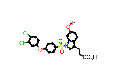 CC(C)Oc1ccc2c(CCC(=O)O)cn(S(=O)(=O)c3ccc(Oc4ccc(Cl)c(Cl)c4)cc3)c2c1